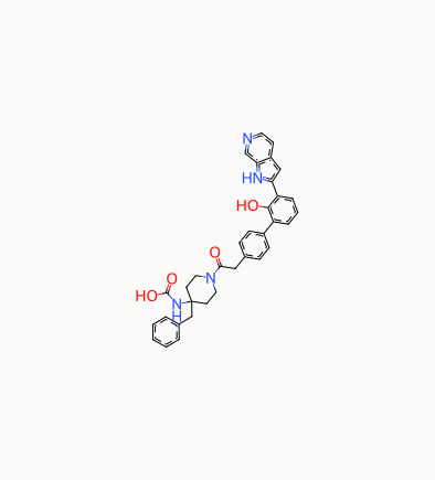 O=C(O)NC1(Cc2ccccc2)CCN(C(=O)Cc2ccc(-c3cccc(-c4cc5ccncc5[nH]4)c3O)cc2)CC1